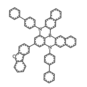 c1ccc(-c2ccc(N3c4cc5ccccc5cc4B4c5cc6ccccc6cc5N(c5ccc(-c6ccccc6)cc5)c5cc(-c6ccc7oc8ccccc8c7c6)cc3c54)cc2)cc1